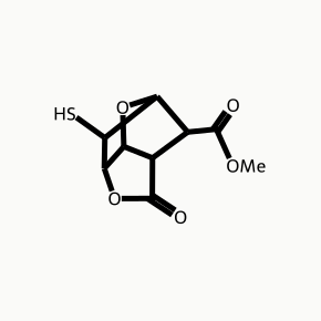 COC(=O)C1C2OC3C(OC(=O)C31)C2S